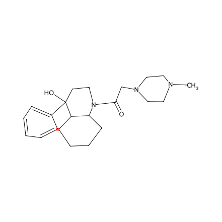 CN1CCN(CC(=O)N2CCC(O)(c3ccccc3)C3CCCCC32)CC1